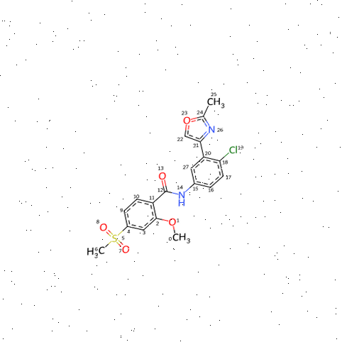 COc1cc(S(C)(=O)=O)ccc1C(=O)Nc1ccc(Cl)c(-c2coc(C)n2)c1